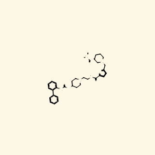 CCN(CC)C(=O)[C@@H]1CCCN(Cc2ccc(C(=O)NCCN3CCC(OC(=O)Nc4ccccc4-c4ccccc4)CC3)s2)C1